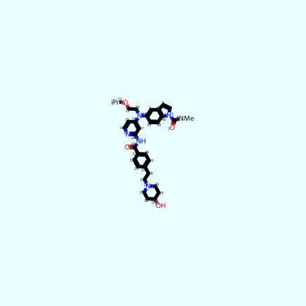 CNC(=O)n1ccc2cc(N(CCOC(C)C)c3ccnc(NC(=O)c4ccc(CCN5CCC(O)CC5)cc4)c3)ccc21